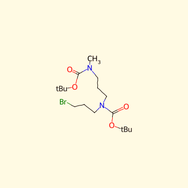 CN(CCCN(CCCBr)C(=O)OC(C)(C)C)C(=O)OC(C)(C)C